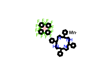 C1=Cc2nc1c(-c1ccccc1)c1ccc([nH]1)c(-c1ccccc1)c1nc(c(-c3ccccc3)c3ccc([nH]3)c2-c2ccccc2)C=C1.Fc1c(F)c(F)c([B-](c2c(F)c(F)c(F)c(F)c2F)(c2c(F)c(F)c(F)c(F)c2F)c2c(F)c(F)c(F)c(F)c2F)c(F)c1F.[Mn]